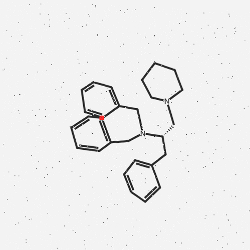 [CH]1CCN(C[C@H](Cc2ccccc2)N(Cc2ccccc2)Cc2ccccc2)CC1